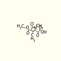 CCOC(=O)c1c(C)c(C(=O)C(=O)O)n(C)c1Cl